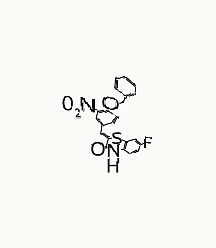 O=C1Nc2ccc(F)cc2S/C1=C\c1ccc(OCc2ccccc2)c([N+](=O)[O-])c1